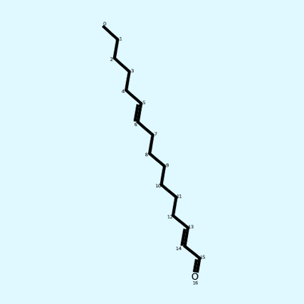 CCCCC/C=C/CCCCCC/C=C/C=O